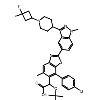 Cc1cc2nc(-c3ccc4c(c3)c(C3CCN(C5CC(F)(F)C5)CC3)nn4C)sc2c(-c2ccc(Cl)cc2)c1C(OC(C)(C)C)C(=O)O